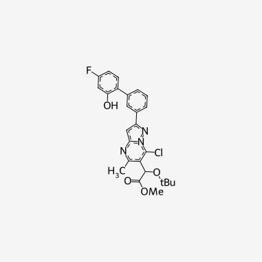 COC(=O)C(OC(C)(C)C)c1c(C)nc2cc(-c3cccc(-c4ccc(F)cc4O)c3)nn2c1Cl